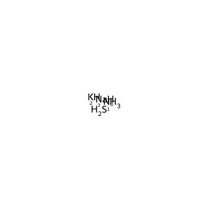 N.S.[KH].[NaH]